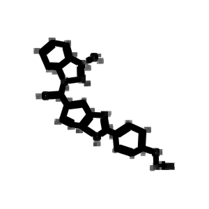 CCCCCCOc1ccc(-c2nc3cc(C(=O)n4n[n+]([O-])c5ccccc54)ccc3o2)cc1